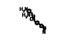 N#COc1ccc(-c2ccc(/C=C/C(=O)OCCc3ccc(N)cc3N)cc2)cc1